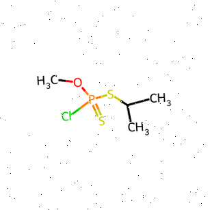 COP(=S)(Cl)SC(C)C